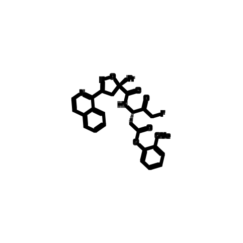 COc1ccccc1OC(=O)C[C@H](NC(=O)[C@]1(C(C)C)CC(c2nccc3ccccc23)=NO1)C(=O)CF